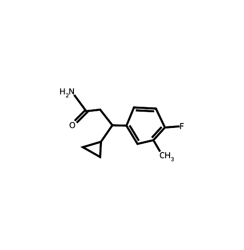 Cc1cc(C(CC(N)=O)C2CC2)ccc1F